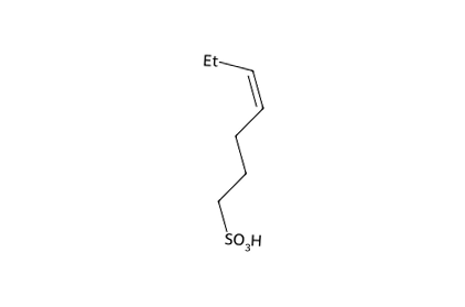 CC/C=C\CCCS(=O)(=O)O